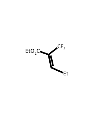 CCC=C(C(=O)OCC)C(F)(F)F